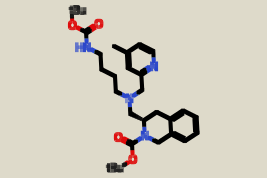 Cc1ccnc(CN(CCCCNC(=O)OC(C)(C)C)C[C@H]2Cc3ccccc3CN2C(=O)OC(C)(C)C)c1